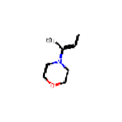 C/C=C(/N1CCOCC1)C(C)(C)C